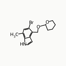 Cc1cc(Br)c(COC2CCCCO2)c2cc[nH]c12